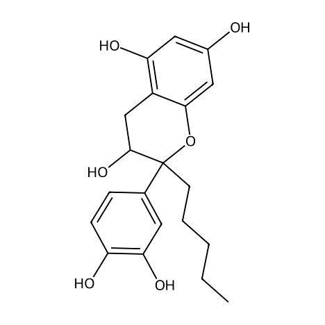 CCCCCC1(c2ccc(O)c(O)c2)Oc2cc(O)cc(O)c2CC1O